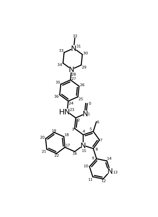 C=N/C(=C\c1c(C)cc(-c2cccnc2)n1Cc1ccccc1)Nc1ccc(N2CCN(C)CC2)cc1